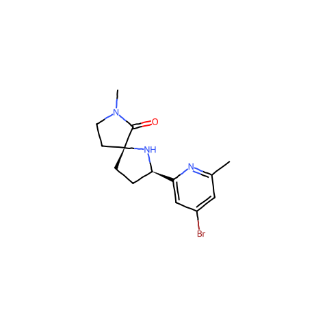 Cc1cc(Br)cc([C@H]2CC[C@]3(CCN(C)C3=O)N2)n1